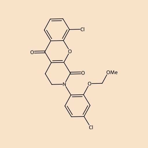 COCOc1cc(Cl)ccc1N1CCc2c(oc3c(Cl)cccc3c2=O)C1=O